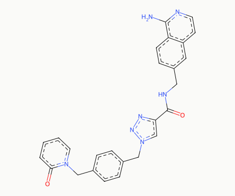 Nc1nccc2cc(CNC(=O)c3cn(Cc4ccc(Cn5ccccc5=O)cc4)nn3)ccc12